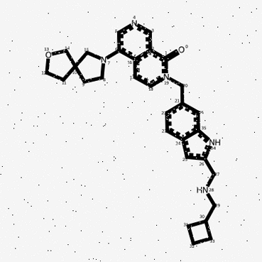 O=c1c2cncc(N3CCC4(CCOC4)C3)c2ccn1Cc1ccc2cc(CNCC3CCC3)[nH]c2c1